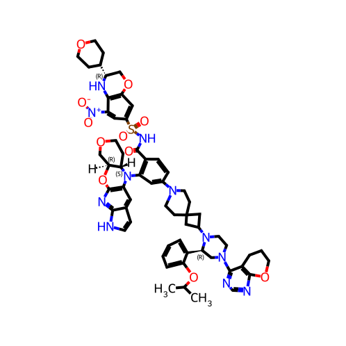 CC(C)Oc1ccccc1[C@@H]1CN(c2ncnc3c2CCCO3)CCN1C1CC2(CCN(c3ccc(C(=O)NS(=O)(=O)c4cc5c(c([N+](=O)[O-])c4)N[C@H](C4CCOCC4)CO5)c(N4c5cc6cc[nH]c6nc5O[C@H]5COCC[C@@H]54)c3)CC2)C1